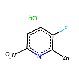 Cl.O=[N+]([O-])c1ccc(F)[c]([Zn])n1